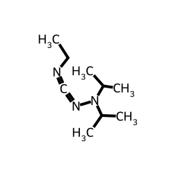 CCN=C=NN(C(C)C)C(C)C